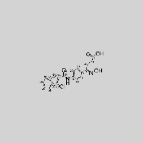 O=C(O)CC/C(=N\O)c1ccc(NC(=O)c2sc3ccccc3c2Cl)cc1